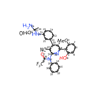 COc1cccc(O)c1-c1cc(-c2cccc(N[C@](C)(N)C=O)c2)c(C#N)c(N(C(=O)C(F)(F)F)c2ccccc2)n1